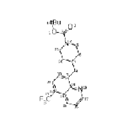 CC(C)(C)OC(=O)N1CCC(Cc2ccc(C(F)(F)F)c3cccnc23)CC1